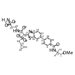 COCC(C)(C)NC(=O)c1ccc(-c2ccc3nc(C(C(=O)NCCS(N)(=O)=O)S(=O)(=O)CC4CC4)sc3c2)cc1